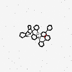 c1ccc(-c2ccc(N(c3ccccc3-c3ccccc3)c3cccc4c3Oc3ccccc3C43c4ccccc4-c4c3ccc3ccccc43)cc2)cc1